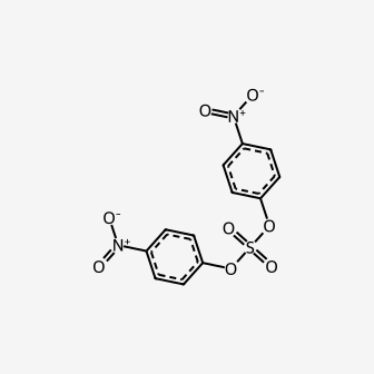 O=[N+]([O-])c1ccc(OS(=O)(=O)Oc2ccc([N+](=O)[O-])cc2)cc1